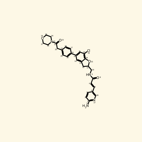 Nc1ccc(/C=C/C(=O)NCC2Cc3cc(-c4ccc(CC(=O)N5CCOCC5)cc4)cc(Cl)c3O2)cn1